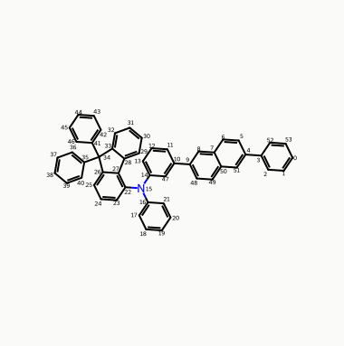 c1ccc(-c2ccc3cc(-c4cccc(N(c5ccccc5)c5cccc6c5-c5ccccc5C6(c5ccccc5)c5ccccc5)c4)ccc3c2)cc1